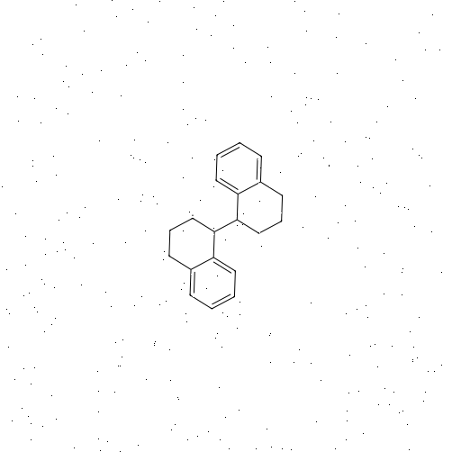 [CH]1CCc2ccccc2C1C1CCCc2ccccc21